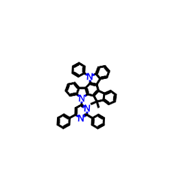 CC1(C)c2ccccc2-c2c1c1c(c3ccccc3n1-c1cc(-c3ccccc3)nc(-c3ccccc3)n1)c1c2c2ccccc2n1-c1ccccc1